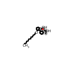 CCCCCCCCCCCCOc1ccccc1-c1cccc(S(=O)(=O)O)c1S(=O)(=O)O